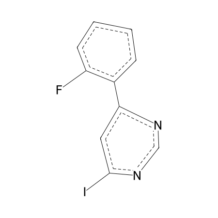 Fc1ccccc1-c1cc(I)ncn1